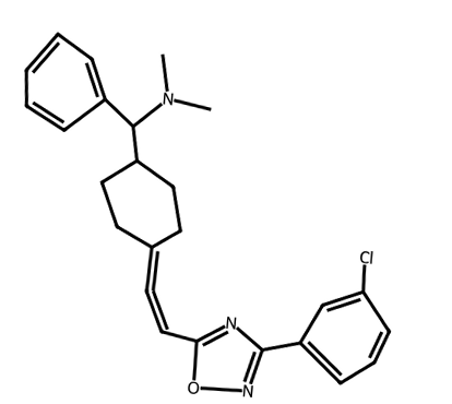 CN(C)C(c1ccccc1)C1CCC(=C=Cc2nc(-c3cccc(Cl)c3)no2)CC1